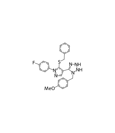 COc1ccc(CN2NNN=C2c2cnn(-c3ccc(F)cc3)c2SCc2ccccc2)cc1